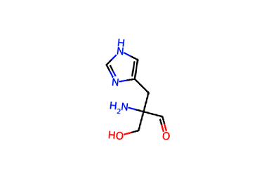 NC(C=O)(CO)Cc1c[nH]cn1